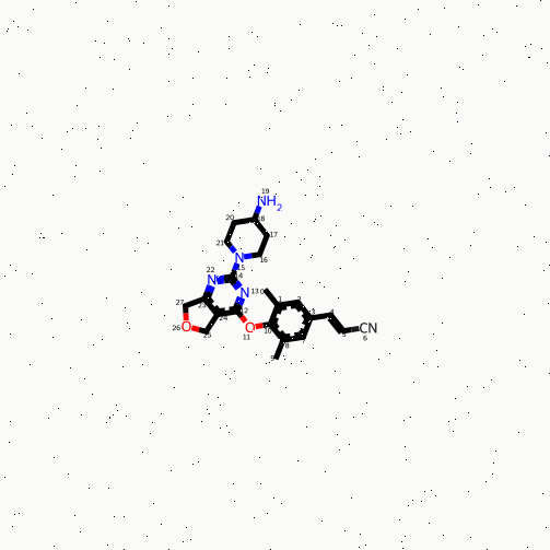 Cc1cc(C=CC#N)cc(C)c1Oc1nc(N2CCC(N)CC2)nc2c1COC2